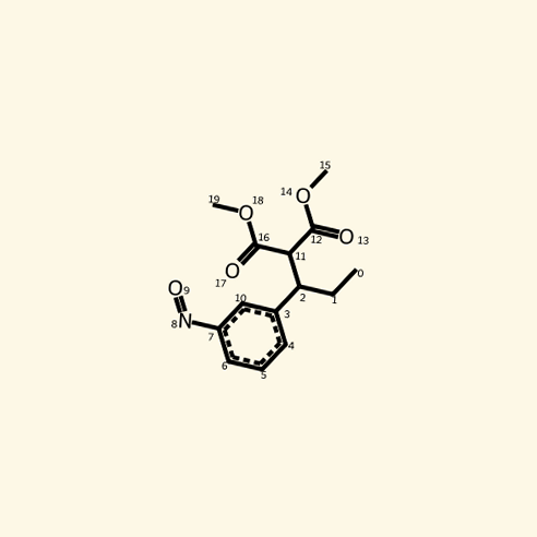 CCC(c1cccc(N=O)c1)C(C(=O)OC)C(=O)OC